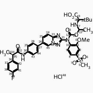 COc1cc(S(C)(=O)=O)ccc1N(C(=O)OC(C)N[C@@H](C(=O)O)C(C)(C)C)c1nc2ccc(-c3ccc(NC(=O)[C@H](C)c4ccc(F)cc4)cc3)cn2n1.Cl